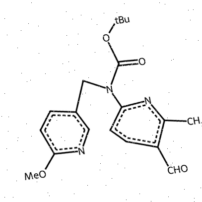 COc1ccc(CN(C(=O)OC(C)(C)C)c2ccc(C=O)c(C)n2)cn1